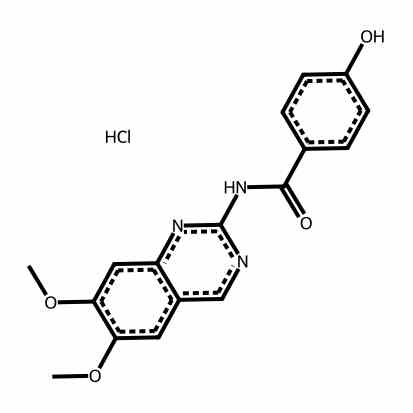 COc1cc2cnc(NC(=O)c3ccc(O)cc3)nc2cc1OC.Cl